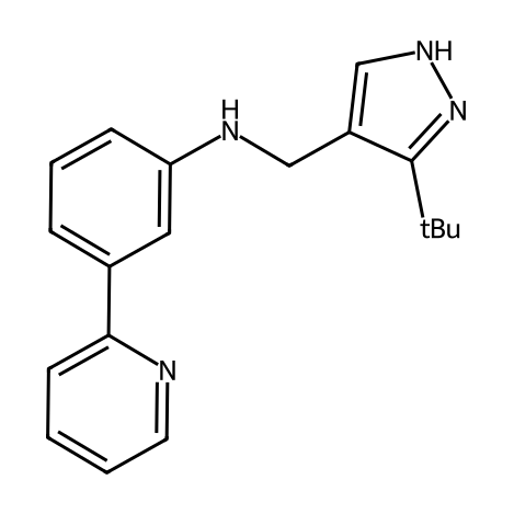 CC(C)(C)c1n[nH]cc1CNc1cccc(-c2ccccn2)c1